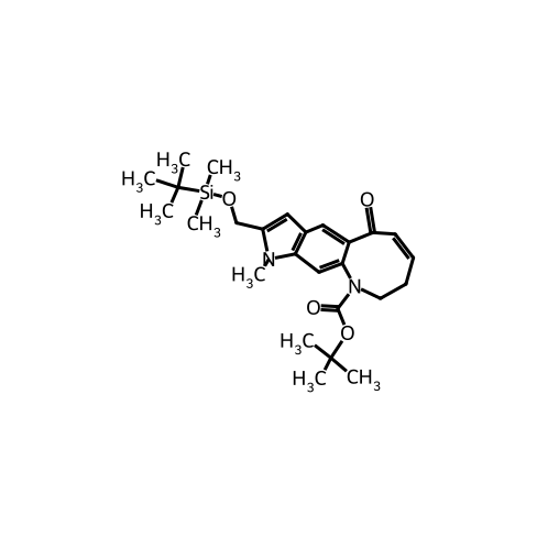 Cn1c(CO[Si](C)(C)C(C)(C)C)cc2cc3c(cc21)N(C(=O)OC(C)(C)C)CC/C=C\C3=O